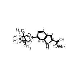 COC(=O)c1cc2ccc(B3OC(C)(C)C(C)(C)O3)cc2[nH]1